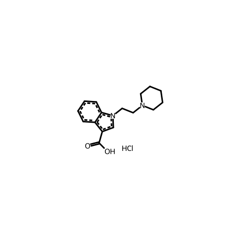 Cl.O=C(O)c1cn(CCN2CCCCC2)c2ccccc12